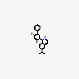 Cc1cc(F)c(-c2ccccc2)cc1-c1c2ccc(C(C)C)cc2cc[n+]1C